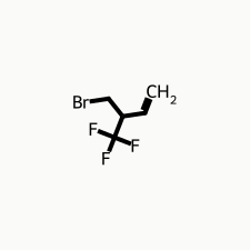 C=CC(CBr)C(F)(F)F